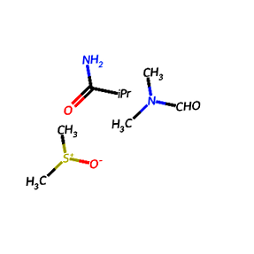 CC(C)C(N)=O.CN(C)C=O.C[S+](C)[O-]